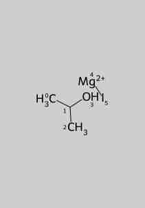 CC(C)O.[Mg+2][I]